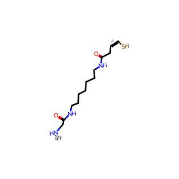 CC(C)NCC(=O)NCCCCCCCNC(=O)C/C=C\S